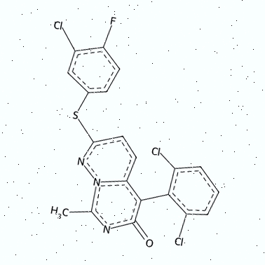 Cc1nc(=O)c(-c2c(Cl)cccc2Cl)c2ccc(Sc3ccc(F)c(Cl)c3)nn12